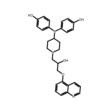 Oc1ccc(N(c2ccc(O)cc2)C2CCN(CC(O)COc3cccc4ncccc34)CC2)cc1